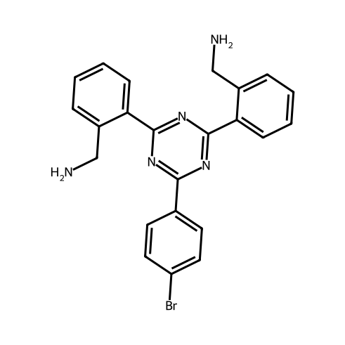 NCc1ccccc1-c1nc(-c2ccc(Br)cc2)nc(-c2ccccc2CN)n1